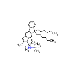 CCCCCCC1(CCCCCC)c2ccccc2-c2cc3c(cc21)C([Si](C)(C)NC(C)(C)C)C(C)=C3